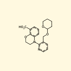 O=C(O)c1cccc2c1OCCN2c1ncccc1COC1CCCCO1